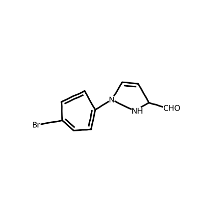 O=CC1C=CN(c2ccc(Br)cc2)N1